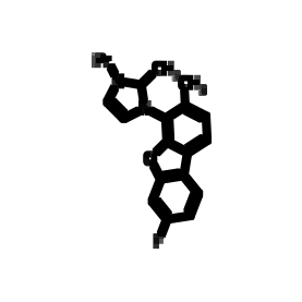 Cc1ccc2c(oc3cc(F)ccc32)c1N1C=CN(C(C)C)C1C